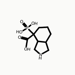 O=C(O)C1(P(=O)(O)O)CCCC2CNCC21